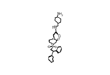 NC1CCC(CNC(=O)CN2CCN(S(=O)(=O)CC(c3ccccc3)c3ccccc3)CC2=O)CC1